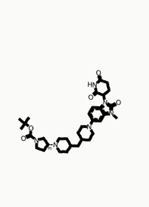 Cn1c(=O)n(C2CCC(=O)NC2=O)c2ccc(N3CCC(CC4CCN([C@@H]5CCN(C(=O)OC(C)(C)C)C5)CC4)CC3)cc21